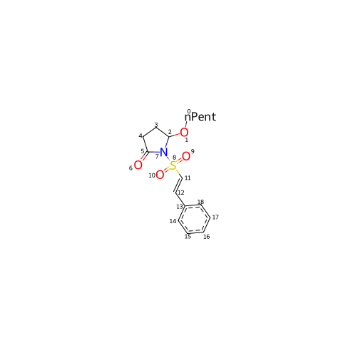 CCCCCOC1CCC(=O)N1S(=O)(=O)C=Cc1ccccc1